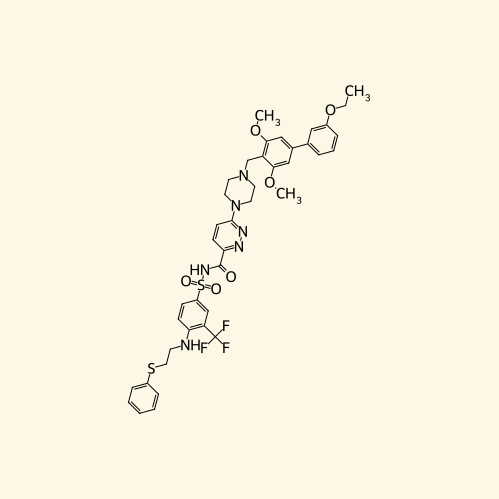 CCOc1cccc(-c2cc(OC)c(CN3CCN(c4ccc(C(=O)NS(=O)(=O)c5ccc(NCCSc6ccccc6)c(C(F)(F)F)c5)nn4)CC3)c(OC)c2)c1